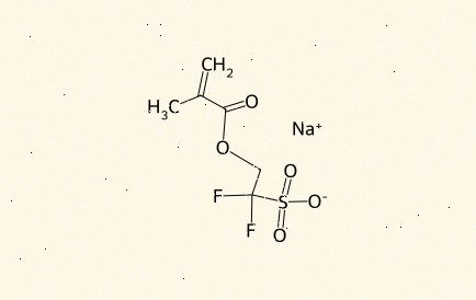 C=C(C)C(=O)OCC(F)(F)S(=O)(=O)[O-].[Na+]